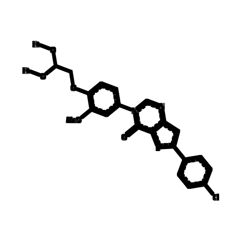 CCOC(COc1ccc(-n2cnc3cc(-c4ccc(Cl)cc4)sc3c2=O)cc1OC)OCC